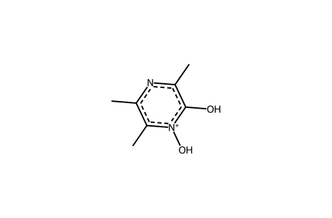 Cc1nc(C)c(O)[n+](O)c1C